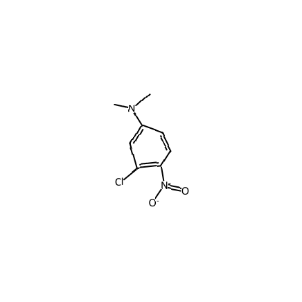 CN(C)c1ccc([N+](=O)[O-])c(Cl)c1